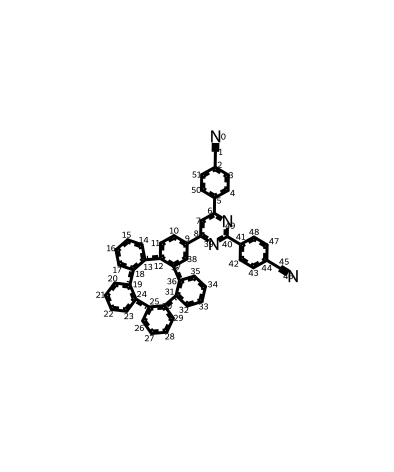 N#Cc1ccc(-c2cc(-c3ccc4c5ccccc5c5ccccc5c5ccccc5c5ccccc5c4c3)nc(-c3ccc(C#N)cc3)n2)cc1